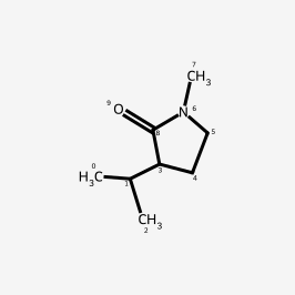 CC(C)C1CCN(C)C1=O